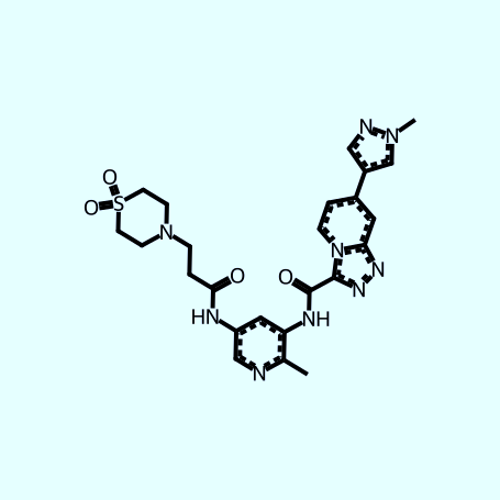 Cc1ncc(NC(=O)CCN2CCS(=O)(=O)CC2)cc1NC(=O)c1nnc2cc(-c3cnn(C)c3)ccn12